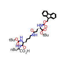 CCCCC(NC(=O)[C@H](CCCCNC(=O)CC[C@H](NC(=O)OCC1c2ccccc2-c2ccccc21)C(=O)OC(C)(C)C)NC(=O)OC(C)(C)C)C(=O)O